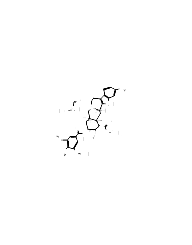 COC(=O)[C@H]1[C@H]2C[C@@H]3c4[nH]c5cc(OC)ccc5c4CCN3C[C@H]2C[C@@H](OC(=O)c2cc(OC)c(OC)c(OC)c2)[C@@H]1OC.O=CNO